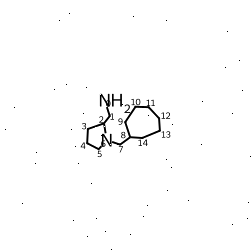 NCC1CCCN1CC1CCCCCC1